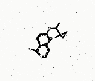 CC(Oc1ccc2c(Cl)nccc2c1)C1(C#N)CC1